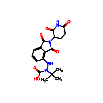 CC(C)(C)N(Nc1cccc2c1C(=O)N(C1CCC(=O)NC1=O)C2=O)C(=O)O